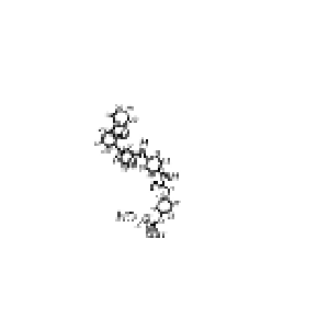 CC(C)(C)N(Cc1ccc(CC(=O)Nc2ccc(Nc3cc(-c4cccc5c4oc4ccccc45)ncn3)cc2)cc1)C(=O)O